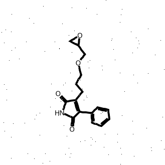 O=C1NC(=O)C(c2ccccc2)=C1CCCOCC1CO1